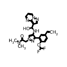 C=Cc1ccc(OC(F)F)c(-c2nn(CC(=O)N(C)C)cc2NC(O)c2cnn3cccnc23)c1